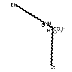 CCC=CCC=CCC=CCC=CCC=CCC=CCCC(=O)NCCCCC(NC(=O)CCC=CCC=CCC=CCC=CCC=CCC=CCC)C(=O)O